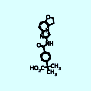 CC(C)(C(=O)O)c1ccc(C(=O)Nc2cn3c4c(ccc3n2)OCC4)cc1